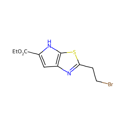 CCOC(=O)c1cc2nc(CCBr)sc2[nH]1